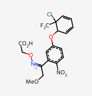 COC/C(=N/OCC(=O)O)c1cc(OC2C=CC=CC2(Cl)C(F)(F)F)ccc1[N+](=O)[O-]